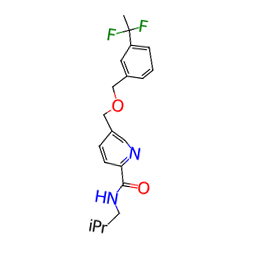 CC(C)CNC(=O)c1ccc(COCc2cccc(C(C)(F)F)c2)cn1